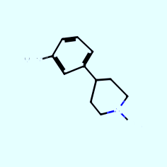 CNc1cccc(C2CCN(C)CC2)c1